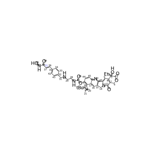 CC[C@@]1(O)C(=O)OCc2c1cc1n(c2=O)Cc2cc3c([Si](C)(C)C(C)(C)C)c(OC(=O)NCCNCc4ccc(/C=C/C(=O)NO)cc4)ccc3nc2-1